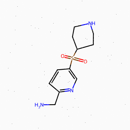 NCc1ccc(S(=O)(=O)C2CCNCC2)cn1